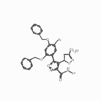 CCNC(=O)c1noc(-c2cc(C(C)C)c(OCc3ccccc3)cc2OCc2ccccc2)c1C1CC(C(=O)OCC)=NO1